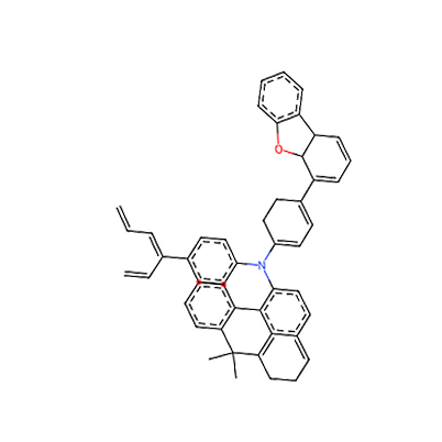 C=C/C=C(\C=C)c1ccc(N(C2=CC=C(C3=CC=CC4c5ccccc5OC34)CC2)c2ccc3c4c2-c2ccccc2C(C)(C)C=4CCC=3)cc1